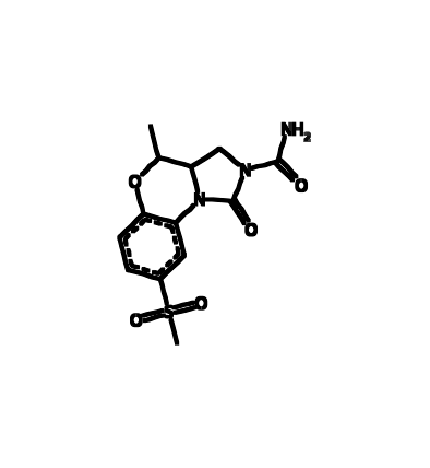 CC1Oc2ccc(S(C)(=O)=O)cc2N2C(=O)N(C(N)=O)CC12